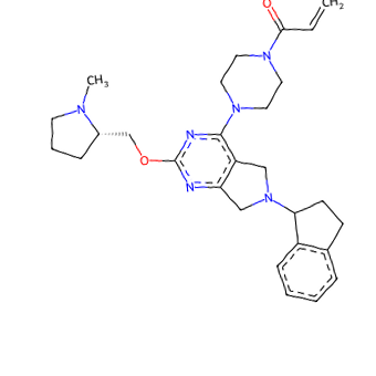 C=CC(=O)N1CCN(c2nc(OC[C@@H]3CCCN3C)nc3c2CN(C2CCc4ccccc42)C3)CC1